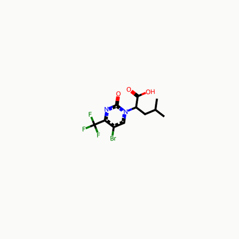 CC(C)CC(C(=O)O)n1cc(Br)c(C(F)(F)F)nc1=O